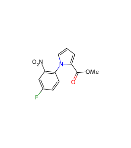 COC(=O)c1cccn1-c1ccc(F)cc1[N+](=O)[O-]